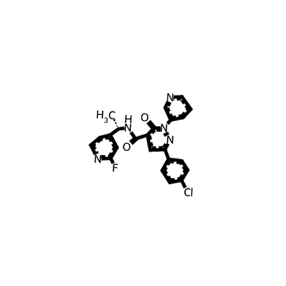 C[C@H](NC(=O)c1cc(-c2ccc(Cl)cc2)nn(-c2cccnc2)c1=O)c1ccnc(F)c1